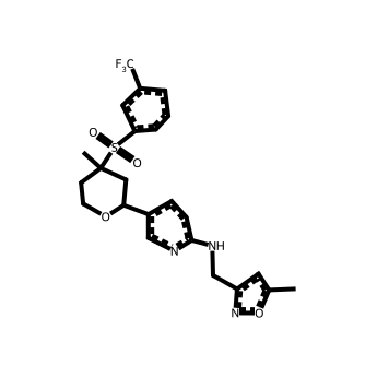 Cc1cc(CNc2ccc(C3CC(C)(S(=O)(=O)c4cccc(C(F)(F)F)c4)CCO3)cn2)no1